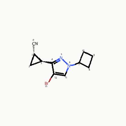 N#C[C@H]1C[C@@H]1c1nn(C2CCC2)cc1Br